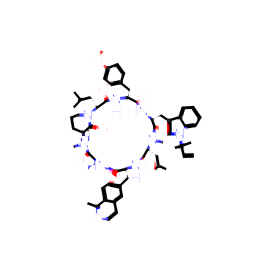 C=CC(C)(C)n1cc(C[C@@H]2NC(=O)[C@H](Cc3ccc(OC)cc3)NC(=O)[C@H](CC(C)C)N3CCC[C@@H](C3=O)N(C)C(=O)[C@H](C)NC(=O)[C@H](Cc3ccc4c(C)nccc4c3)NC(=O)[C@H](CC(C)C)N(C)C2=O)c2ccccc21